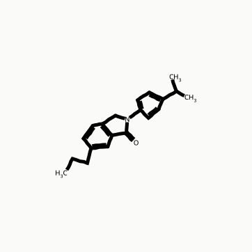 CCCc1ccc2c(c1)C(=O)N(c1ccc(C(C)C)cc1)C2